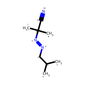 CC(C)CN=NC(C)(C)C#N